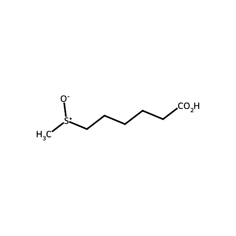 C[S+]([O-])CCCCCC(=O)O